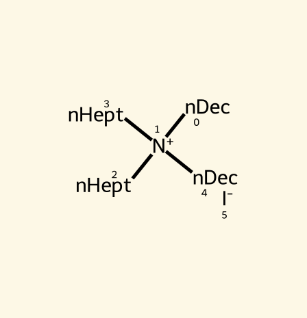 CCCCCCCCCC[N+](CCCCCCC)(CCCCCCC)CCCCCCCCCC.[I-]